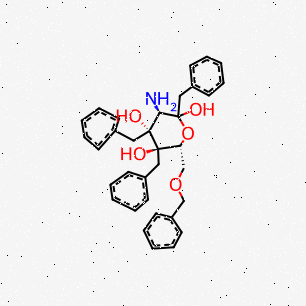 N[C@H]1C(O)(Cc2ccccc2)O[C@H](COCc2ccccc2)[C@](O)(Cc2ccccc2)[C@@]1(O)Cc1ccccc1